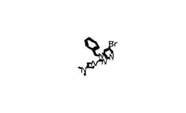 CN(C)C1CN(c2nc3ncc(Br)cc3n2Cc2ccccc2)C1